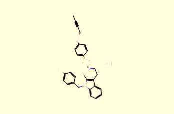 CC#CCOc1ccc(S(=O)(=O)N[C@@H](Cc2c(C)n(Cc3ccc(F)cc3)c3ccccc23)C(=O)O)cc1